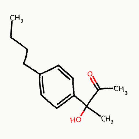 CCCCc1ccc(C(C)(O)C(C)=O)cc1